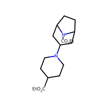 CCOC(=O)C1CCN(C2CC3CCC(C2)N3C(=O)OCC)CC1